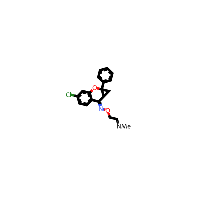 CNCCON=C1c2ccc(Cl)cc2OC2(c3ccccc3)CC12